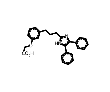 O=C(O)COc1cccc(CCCc2nc(-c3ccccc3)c(-c3ccccc3)[nH]2)c1